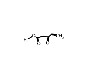 C=CC(=O)CC(=O)OCC